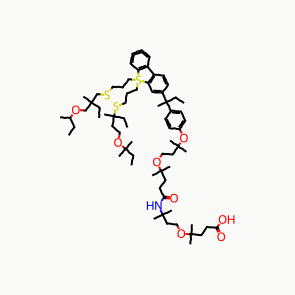 CCC(C)OCC(C)(CC)CSCCCS1(CCCSC(C)(CC)CCOC(C)(C)CC)C2=C(C=C=C=C2)c2ccc(C(C)(CC)c3ccc(OC(C)(C)CCOC(C)(C)CCC(=O)NC(C)(C)CCOC(C)(C)CCC(=O)O)cc3)cc21